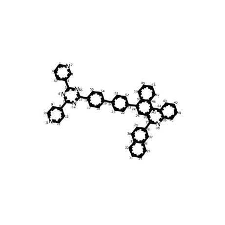 c1cncc(-c2nc(-c3ccncc3)nc(-c3ccc(-c4ccc(-c5cc6c(-c7ccc8ccccc8c7)nc7ccccc7c6c6ccccc56)cc4)cc3)n2)c1